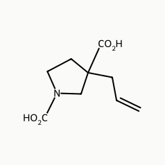 C=CCC1(C(=O)O)CCN(C(=O)O)C1